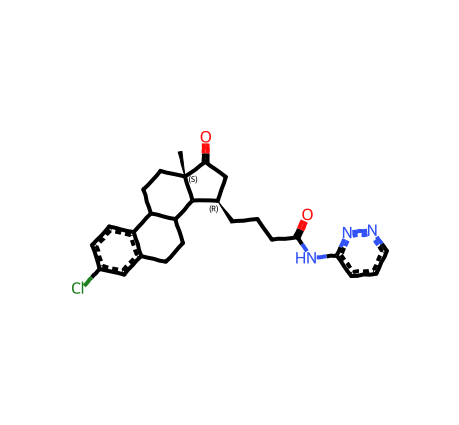 C[C@]12CCC3c4ccc(Cl)cc4CCC3C1[C@H](CCCC(=O)Nc1cccnn1)CC2=O